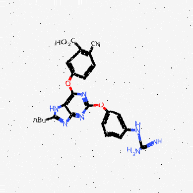 CCCCc1nc2nc(Oc3cccc(NC(=N)N)c3)nc(Oc3ccc(C#N)c(C(=O)O)c3)c2[nH]1